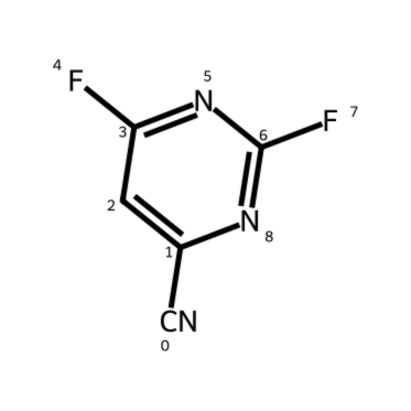 N#Cc1cc(F)nc(F)n1